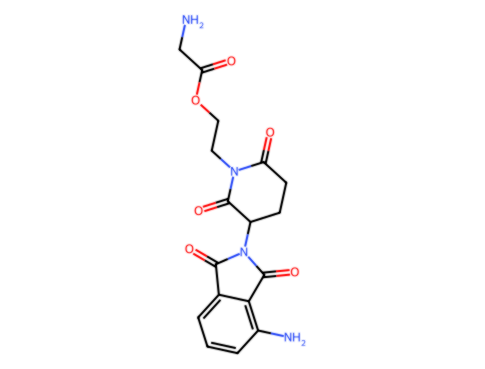 NCC(=O)OCCN1C(=O)CCC(N2C(=O)c3cccc(N)c3C2=O)C1=O